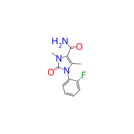 Cc1c(C(N)=O)n(C)c(=O)n1-c1ccccc1F